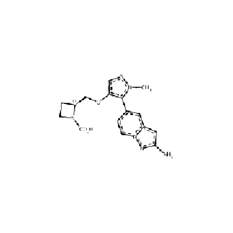 Cn1ncc(OC[C@@H]2CCN2C(=O)O)c1-c1ccn2nc(N)cc2c1